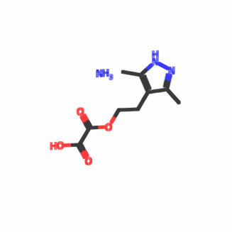 Cc1n[nH]c(C)c1CCOC(=O)C(=O)O.N